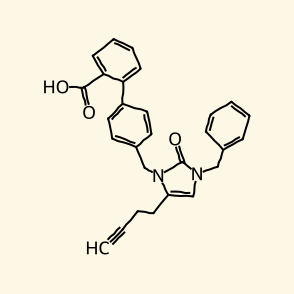 C#CCCc1cn(Cc2ccccc2)c(=O)n1Cc1ccc(-c2ccccc2C(=O)O)cc1